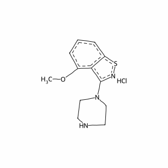 COc1cccc2snc(N3CCNCC3)c12.Cl